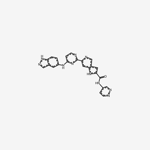 O=C(Nc1ccnnc1)c1cc2cnc(-c3nccc(Nc4ccc5[nH]ncc5c4)n3)cc2[nH]1